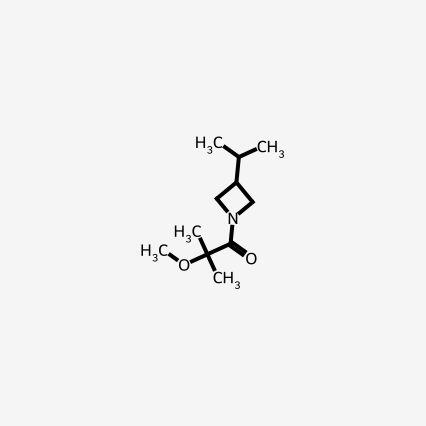 COC(C)(C)C(=O)N1CC(C(C)C)C1